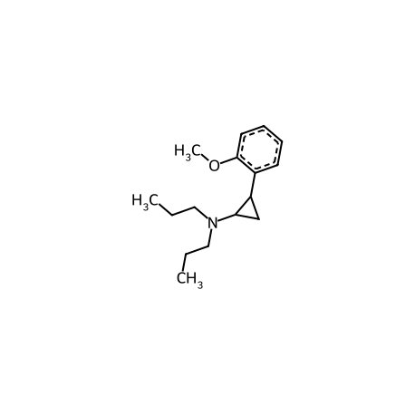 CCCN(CCC)C1CC1c1ccccc1OC